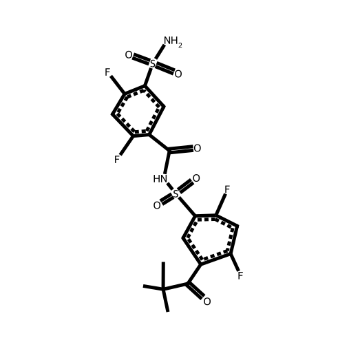 CC(C)(C)C(=O)c1cc(S(=O)(=O)NC(=O)c2cc(S(N)(=O)=O)c(F)cc2F)c(F)cc1F